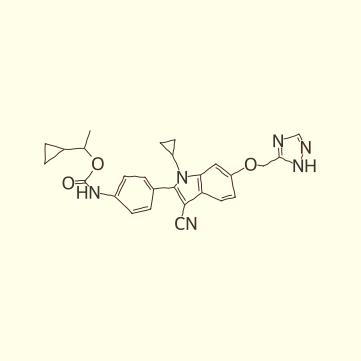 CC(OC(=O)Nc1ccc(-c2c(C#N)c3ccc(OCc4ncn[nH]4)cc3n2C2CC2)cc1)C1CC1